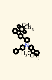 CC1(C)c2ccccc2-c2ccc(N(c3ccc(-c4ccccc4)cc3)c3cccc(-c4ccc5c(c4)C4(c6ccccc6-5)c5ccccc5C(C)(C)c5ccccc54)c3)cc21